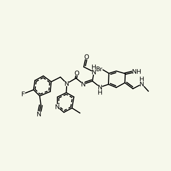 CN/C=C1/C=C(N/C(=N/C(=O)N(Cc2ccc(F)c(C#N)c2)c2cncc(C)c2)NC=O)C(Br)=CC1=N